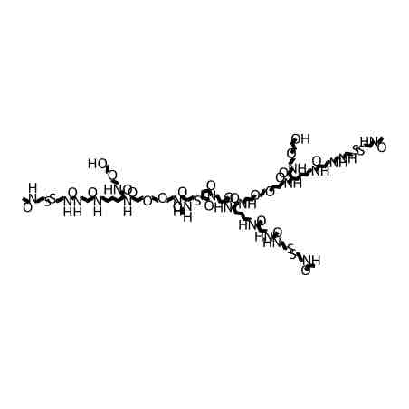 CC(=O)NCCSSCCNCNCCC(=O)NCCCCC(NC(=O)CCOCCOCCNC(=O)C(CCCCNC(=O)CCNC(=O)NCCSSCCNC(C)=O)NC(=O)CCN1C(=O)CC(SCC(NC(C)=O)C(=O)NCCOCCOCCC(=O)NC(CCCCNC(=O)CCNC(=O)NCCSSCCNC(C)=O)C(=O)NCCOCCO)C1=O)C(=O)NCCOCCO